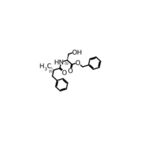 C[C@@H](Cc1ccccc1)C(=O)N[C@@H](CO)C(=O)OCc1ccccc1